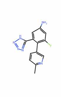 Cc1ccc(-c2c(F)cc(N)cc2-c2nnn[nH]2)cn1